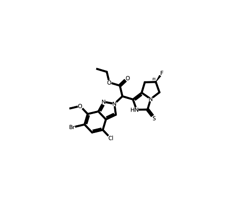 CCOC(=O)C(c1[nH]c(=S)n2c1C[C@@H](F)C2)n1cc2c(Cl)cc(Br)c(OC)c2n1